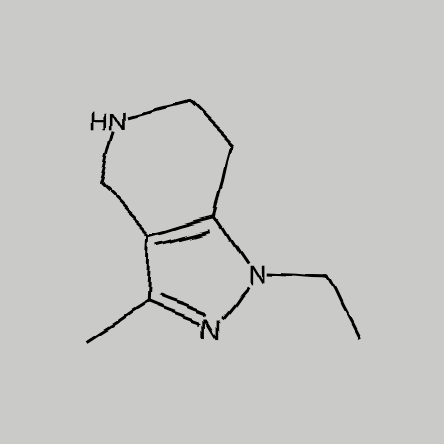 CCn1nc(C)c2c1CCNC2